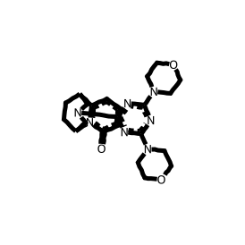 O=c1cccc2n1C1CCC2CN(c2nc(N3CCOCC3)nc(N3CCOCC3)n2)C1